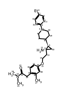 CCc1cnc(N2CCC([C@H]3C[C@@]3(N)CCOc3ccc(CC(=O)N(C)C)c(C)c3)CC2)nc1